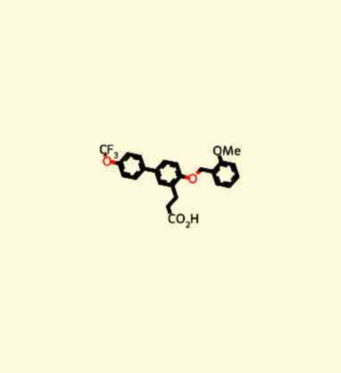 COc1ccccc1COc1ccc(-c2ccc(OC(F)(F)F)cc2)cc1CCC(=O)O